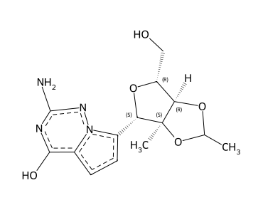 CC1O[C@@H]2[C@@H](CO)O[C@@H](c3ccc4c(O)nc(N)nn34)[C@]2(C)O1